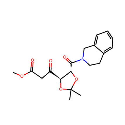 COC(=O)CC(=O)[C@@H]1OC(C)(C)O[C@H]1C(=O)N1CCc2ccccc2C1